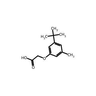 Cc1cc(OCC(=O)O)cc(C(C)(C)C)c1